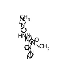 C=CCCn1c(=O)c2cnc(Nc3ccc(N4CCN(C)CC4)cc3)nc2n1-c1cccc(-c2cnccn2)n1